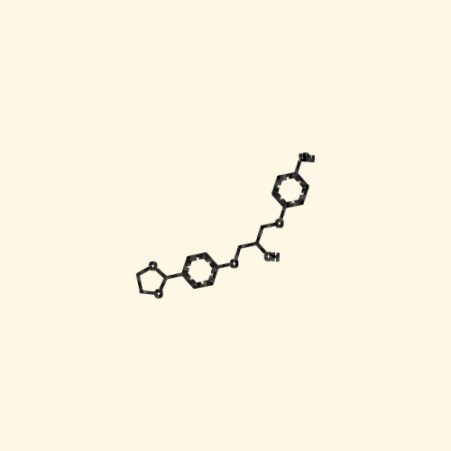 CC(C)(C)c1ccc(OCC(O)COc2ccc(C3OCCO3)cc2)cc1